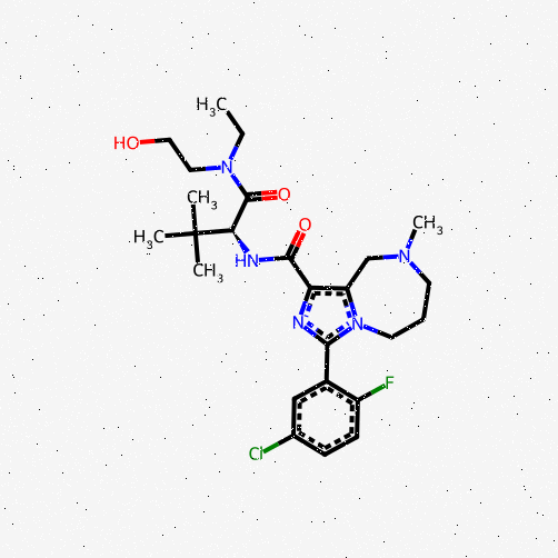 CCN(CCO)C(=O)[C@@H](NC(=O)c1nc(-c2cc(Cl)ccc2F)n2c1CN(C)CCC2)C(C)(C)C